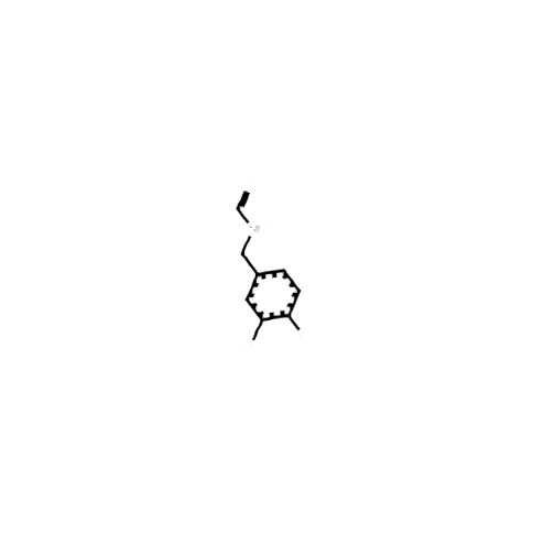 O=CNCc1ccc(Cl)c(Cl)c1